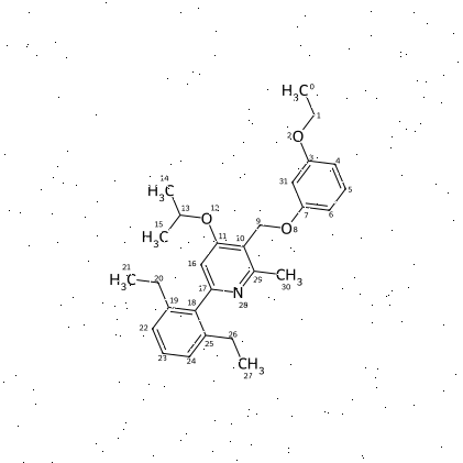 CCOc1cccc(OCc2c(OC(C)C)cc(-c3c(CC)cccc3CC)nc2C)c1